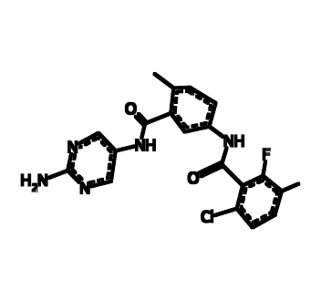 Cc1ccc(NC(=O)c2c(Cl)ccc(C)c2F)cc1C(=O)Nc1cnc(N)nc1